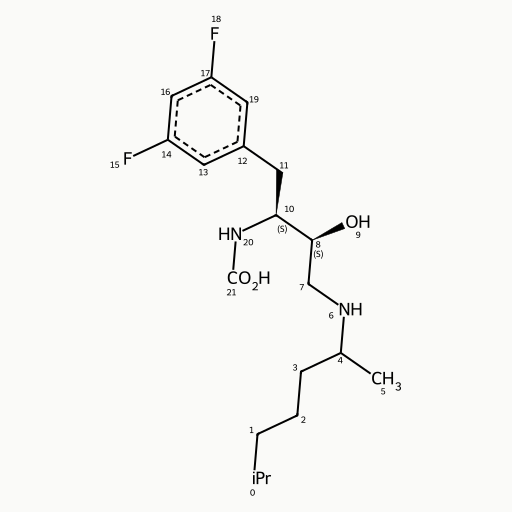 CC(C)CCCC(C)NC[C@H](O)[C@H](Cc1cc(F)cc(F)c1)NC(=O)O